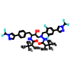 CC(=O)NC(C(=O)NC(Cc1ccc(-c2cnn(C(F)F)c2)cc1)C(O)CN(Cc1c(F)cc(-c2cnn(C(F)F)c2)cc1F)NC(=O)C(NC(C)=O)C(C)(C)C(F)(F)F)C(C)(C)C(F)(F)F